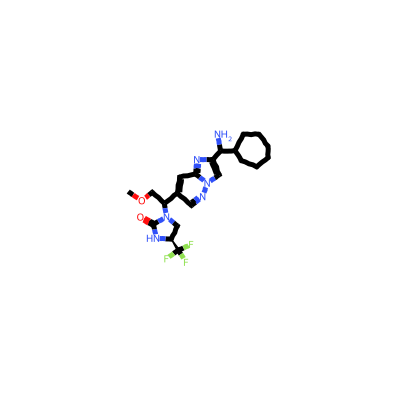 COCC(c1cnn2cc(C(N)C3CCCCCC3)nc2c1)N1C[C@@H](C(F)(F)F)NC1=O